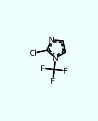 FC(F)(F)n1ccnc1Cl